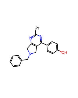 CC(C)c1nc2c(c(-c3ccc(O)cc3)n1)CN(Cc1ccccc1)C2